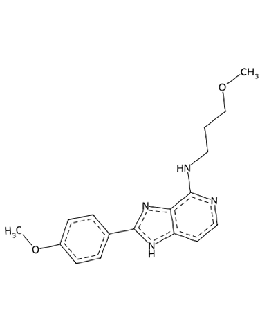 COCCCNc1nccc2[nH]c(-c3ccc(OC)cc3)nc12